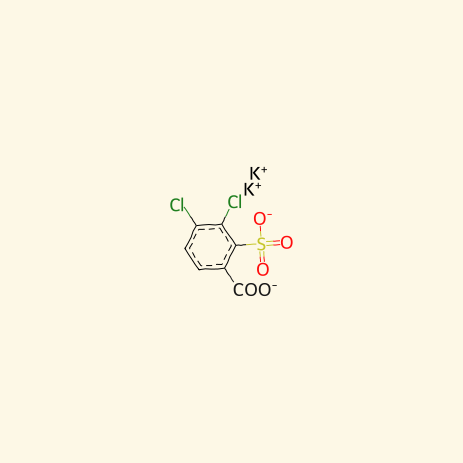 O=C([O-])c1ccc(Cl)c(Cl)c1S(=O)(=O)[O-].[K+].[K+]